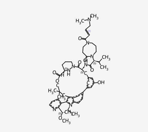 CCn1c(-c2cccnc2[C@H](C)OC)c2c3cc(ccc31)-c1cc(O)cc(c1)C[C@H](NC(=O)[C@H](C(C)C)N1CCCN(C(=O)/C=C/CN(C)C)CCC1=O)C(=O)N1CCC[C@H](N1)C(=O)OCC(C)(C)C2